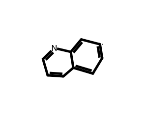 [c]1ccc2cccnc2c1